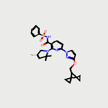 C[C@@H]1CN(c2nc(-n3ccc(OCC4C5(CC5)C45CC5)n3)ccc2C(=O)NS(=O)(=O)c2ccccc2)C(C)(C)C1